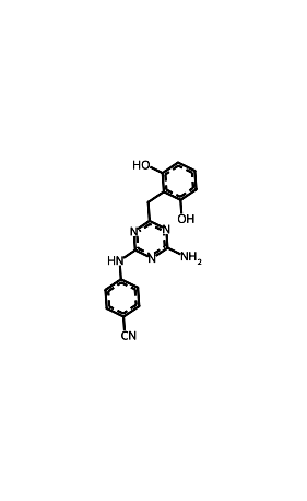 N#Cc1ccc(Nc2nc(N)nc(Cc3c(O)cccc3O)n2)cc1